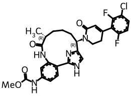 COC(=O)Nc1ccc2c(c1)NC(=O)[C@H](C)CCC[C@@H](N1CCC(c3c(F)ccc(Cl)c3F)=CC1=O)c1c[nH]c-2n1